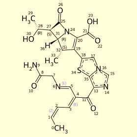 C\C=C/C=C(\C=N\CC(N)=O)C(=O)c1ncn2cc(C3=C(C(=O)O)N4C(=O)[C@H]([C@@H](C)O)[C@H]4[C@H]3C)sc12